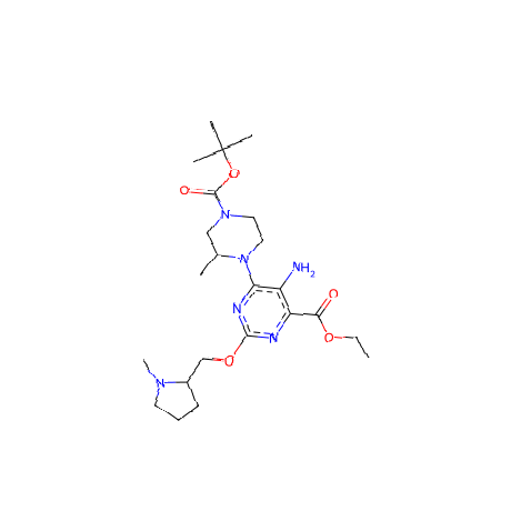 CCOC(=O)c1nc(OCC2CCCN2C)nc(N2CCN(C(=O)OC(C)(C)C)CC2C)c1N